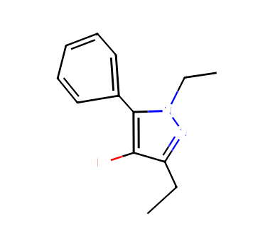 CCc1nn(CC)c(-c2ccccc2)c1O